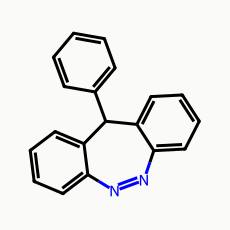 c1ccc(C2c3ccccc3N=Nc3ccccc32)cc1